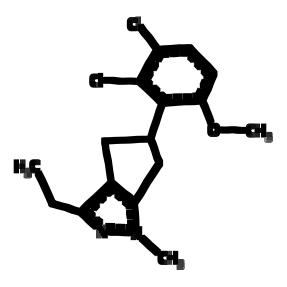 CCc1nn(C)c2c1CC(c1c(OC)ccc(Cl)c1Cl)C2